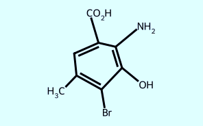 Cc1cc(C(=O)O)c(N)c(O)c1Br